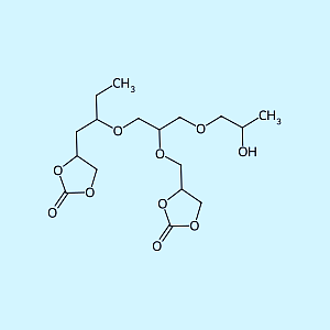 CCC(CC1COC(=O)O1)OCC(COCC(C)O)OCC1COC(=O)O1